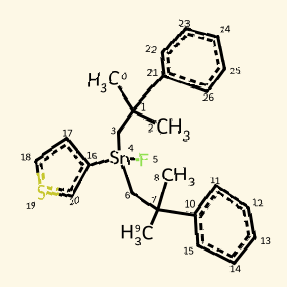 CC(C)([CH2][Sn]([F])([CH2]C(C)(C)c1ccccc1)[c]1ccsc1)c1ccccc1